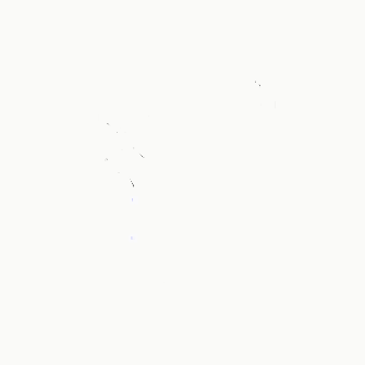 CN(C)CCCCCC1=C[C@H]2C[C@@H](O)[C@H](/C=C/C=C/c3ccccc3)[C@H]2C1